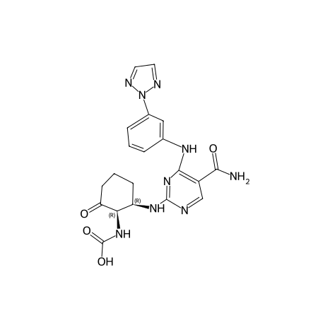 NC(=O)c1cnc(N[C@@H]2CCCC(=O)[C@@H]2NC(=O)O)nc1Nc1cccc(-n2nccn2)c1